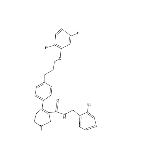 CCc1ccccc1CNC(=O)C1=C(c2ccc(CCCOc3cc(F)ccc3F)cc2)CCNC1